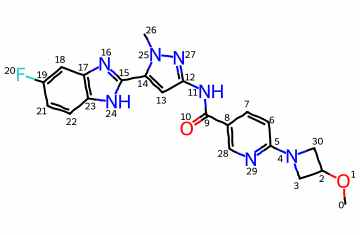 COC1CN(c2ccc(C(=O)Nc3cc(-c4nc5cc(F)ccc5[nH]4)n(C)n3)cn2)C1